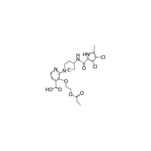 CCC(=O)OCCOc1c(C(=O)O)ccnc1N1CCC(NC(=O)c2[nH]c(C)c(Cl)c2Cl)CC1